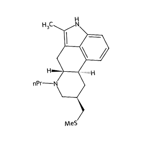 CCCN1C[C@H](CSC)C[C@@H]2c3cccc4[nH]c(C)c(c34)C[C@H]21